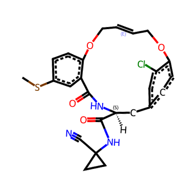 CSc1ccc2c(c1)C(=O)N[C@H](C(=O)NC1(C#N)CC1)Cc1ccc(c(Cl)c1)OC/C=C/CO2